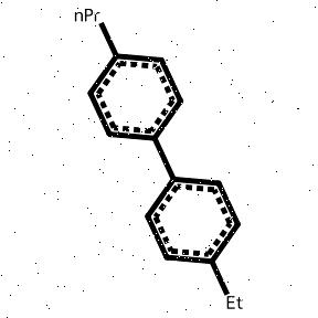 CCCc1[c]cc(-c2ccc(CC)cc2)cc1